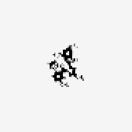 C=C1CC(c2nc3c(C)cc(C)cc3[nH]2)N(C(=O)c2cc(C)ccc2-n2nccn2)C1